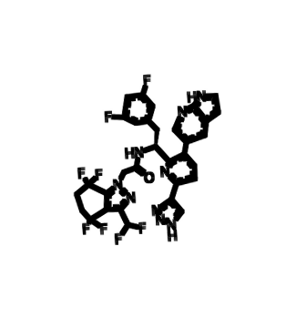 O=C(Cn1nc(C(F)F)c2c1C(F)(F)CCC2(F)F)N[C@@H](Cc1cc(F)cc(F)c1)c1nc(-c2c[nH]nn2)ccc1-c1cnc2[nH]ccc2c1